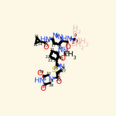 BC(B)(B)NC(=O)c1nnc(NC(=O)C2CC2)cc1Nc1cccc(-c2ncc(C(=O)N3CC(=O)NC(=O)C3)s2)c1OC